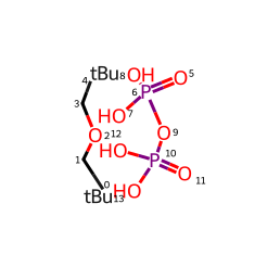 CC(C)(C)COCC(C)(C)C.O=P(O)(O)OP(=O)(O)O